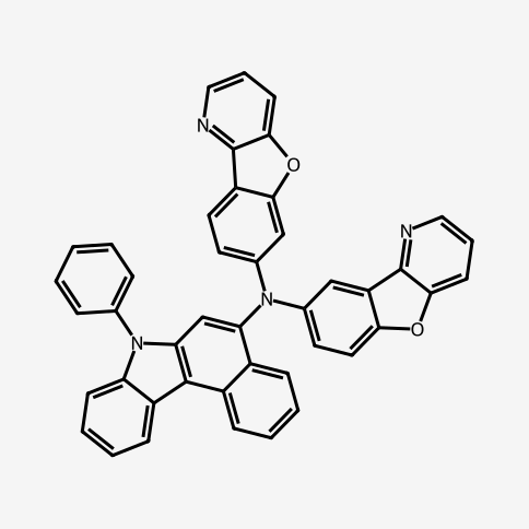 c1ccc(-n2c3ccccc3c3c4ccccc4c(N(c4ccc5c(c4)oc4cccnc45)c4ccc5oc6cccnc6c5c4)cc32)cc1